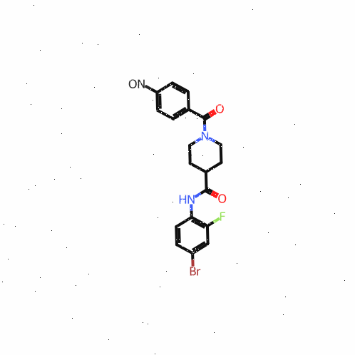 O=Nc1ccc(C(=O)N2CCC(C(=O)Nc3ccc(Br)cc3F)CC2)cc1